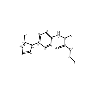 CCOC(=O)C(C)Nc1ccc(-n2ccnc2C)cc1